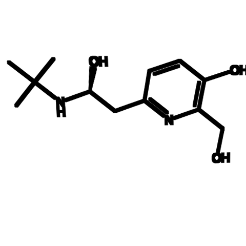 CC(C)(C)N[C@@H](O)Cc1ccc(O)c(CO)n1